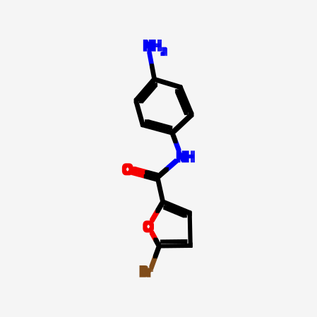 Nc1ccc(NC(=O)c2ccc(Br)o2)cc1